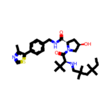 CCC(C)(C)CC(C)(C)CN[C@H](C(=O)N1C[C@H](O)C[C@H]1C(=O)NCc1ccc(-c2scnc2C)cc1)C(C)(C)C